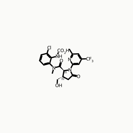 Cc1cc(C(F)(F)F)cc(N2C(=O)C[C@H](CO)[C@H]2C(=O)N(C)c2cccc(Cl)c2NC(=O)O)n1